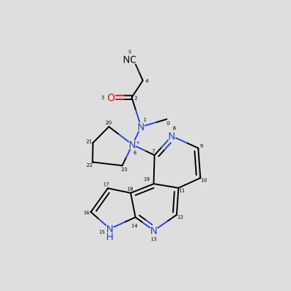 CN(C(=O)CC#N)[N+]1(c2nccc3cnc4[nH]ccc4c23)CCCC1